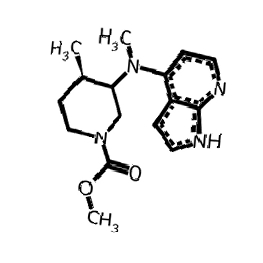 COC(=O)N1CC[C@@H](C)C(N(C)c2ccnc3[nH]ccc23)C1